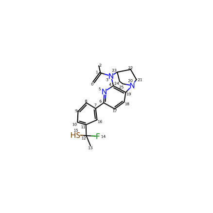 C=C(C)N1c2nc(-c3cccc(C(C)(F)S)c3)ccc2N2CCC1CC2